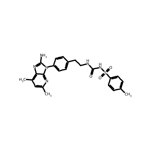 Cc1ccc(S(=O)(=O)NC(=O)NCCc2ccc(-n3c(N)nc4c(C)cc(C)nc43)cc2)cc1